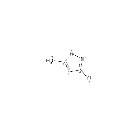 CC1=CC(Cl)=N[N]1